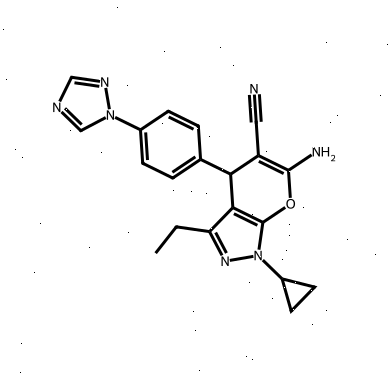 CCc1nn(C2CC2)c2c1C(c1ccc(-n3cncn3)cc1)C(C#N)=C(N)O2